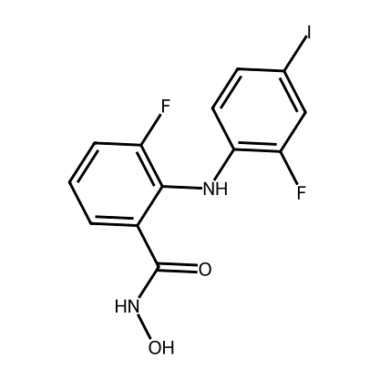 O=C(NO)c1cccc(F)c1Nc1ccc(I)cc1F